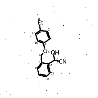 CCc1ccc(OCc2ccccc2C(O)C#N)cc1